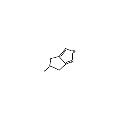 IN1Cc2c[nH]nc2C1